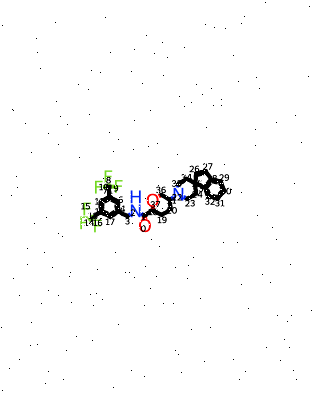 O=C(NCc1cc(C(F)(F)F)cc(C(F)(F)F)c1)C1CCC(N2CCC3(C=Cc4ccccc43)CC2)CO1